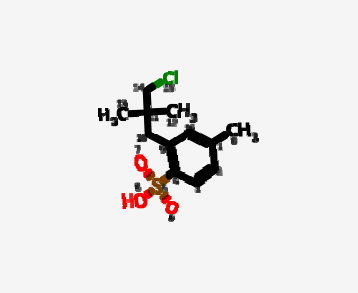 Cc1ccc(S(=O)(=O)O)c(CC(C)(C)CCl)c1